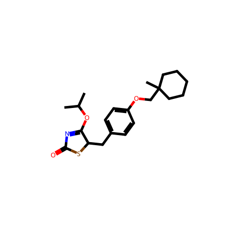 CC(C)OC1=NC(=O)SC1Cc1ccc(OCC2(C)CCCCC2)cc1